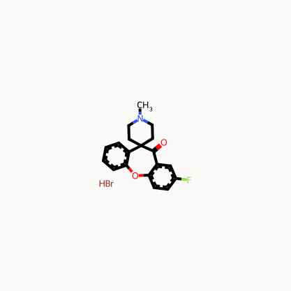 Br.CN1CCC2(CC1)C(=O)c1cc(F)ccc1Oc1ccccc12